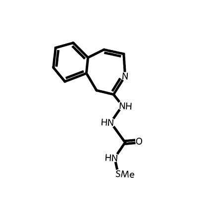 CSNC(=O)NNC1=NC=Cc2ccccc2C1